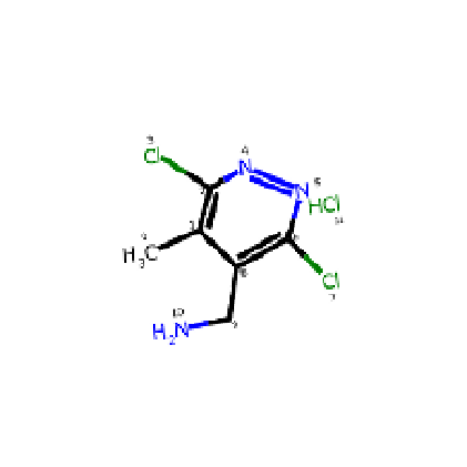 Cc1c(Cl)nnc(Cl)c1CN.Cl